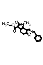 CCOC(=O)c1c2c(n(C)c1Cl)-c1cn(Cc3ccccc3)nc1CC2